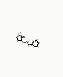 C1=CC(COCc2ccccc2)NN1